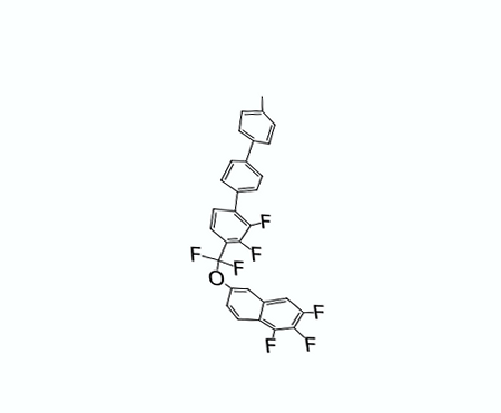 Cc1ccc(-c2ccc(-c3ccc(C(F)(F)Oc4ccc5c(F)c(F)c(F)cc5c4)c(F)c3F)cc2)cc1